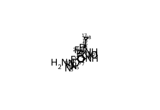 Nc1ncn(Cc2cc3c(cc2F)[C@@](C#CC2CC2)(C(F)(F)F)NC(=O)N3)n1